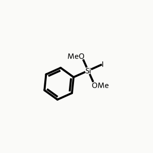 CO[Si](I)(OC)c1ccccc1